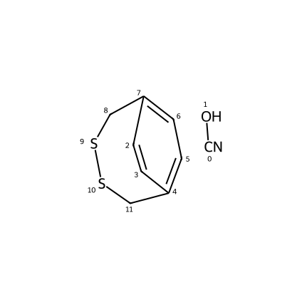 N#CO.c1cc2ccc1CSSC2